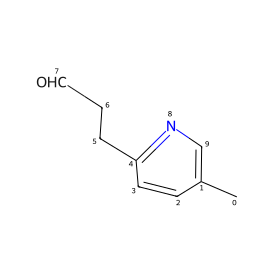 Cc1ccc(CCC=O)nc1